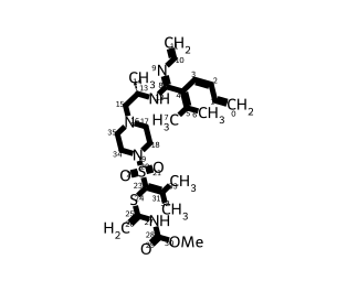 C=C/C=C\C(=C(C)C)/C(=N\C=C)N[C@@H](C)CN1CCN(S(=O)(=O)C(SC(=C)NC(=O)OC)=C(C)C)CC1